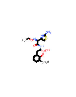 Nc1nc(/C(=N/OCC(F)(F)F)C(=O)N[C@H]2Cc3cccc(C(=O)O)c3OB2O)cs1